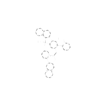 C[n+]1ccccc1-c1cc2c(cc1/C=C1/Cc3cc4ccccc4cc3-c3cccc[n+]31)C(C)(C)c1c-2ccc2ccccc12